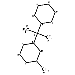 CC1CCCC(C(C2CCCCC2)(C(F)(F)F)C(F)(F)F)C1